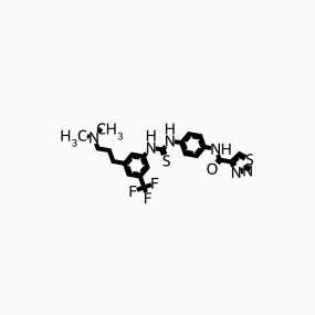 CN(C)CCCc1cc(NC(=S)Nc2ccc(NC(=O)c3csnn3)cc2)cc(C(F)(F)F)c1